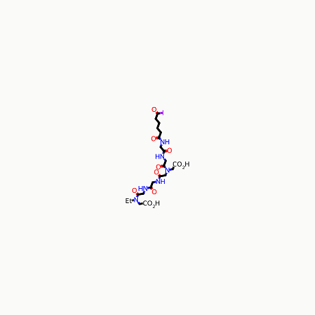 CCN(CC(=O)O)C(=O)CNC(=O)CNC(=O)CN(CC(=O)O)C(=O)CNC(=O)CNC(=O)CCCCC(=O)I